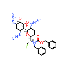 [N-]=[N+]=NC1CC(N=[N+]=[N-])[C@H](O)[C@@H](O)C1[C@H]1O[C@H]([C@@H](CF)N(Cc2ccccc2)C(=O)OCc2ccccc2)CCC1N=[N+]=[N-]